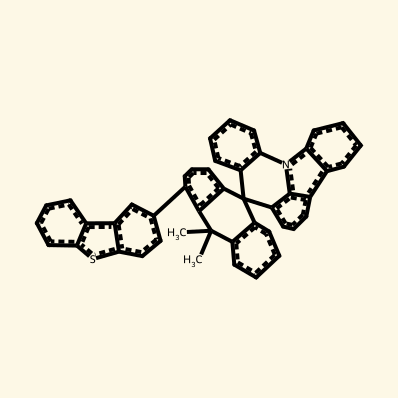 CC1(C)c2ccccc2C2(c3ccccc3-n3c4ccccc4c4cccc2c43)c2cccc(-c3ccc4sc5ccccc5c4c3)c21